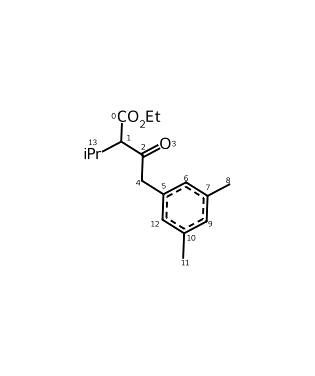 CCOC(=O)C(C(=O)Cc1cc(C)cc(C)c1)C(C)C